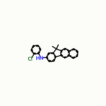 CC1(C)c2cc(Nc3ccccc3Cl)ccc2-c2cc3ccccc3cc21